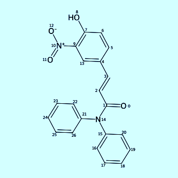 O=C(C=Cc1ccc(O)c([N+](=O)[O-])c1)N(c1ccccc1)c1ccccc1